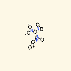 Cc1ccc2c(c1)c1cc(C)ccc1n2-c1cc(-c2cc(-c3ccc4c(c3)C(C)(C)c3ccccc3-4)nc(-c3ccccc3)n2)cc(-n2c3ccc(C)cc3c3cc(C)ccc32)c1